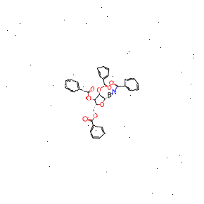 O=C(N=B[C@@H]1O[C@H](COC(=O)c2ccccc2)C(OC(=O)c2ccccc2)[C@@H]1OC(=O)c1ccccc1)c1ccccc1